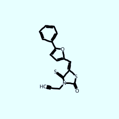 C#CCN1C(=O)S/C(=C/c2ccc(-c3ccccc3)o2)C1=S